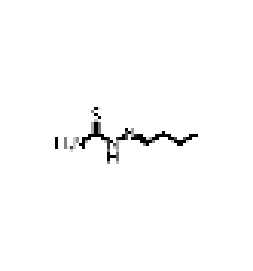 CCCC=NNC(N)=S